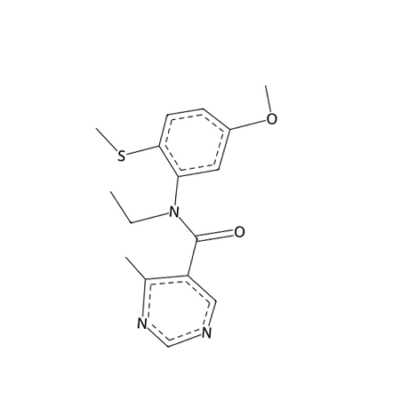 CCN(C(=O)c1cncnc1C)c1cc(OC)ccc1SC